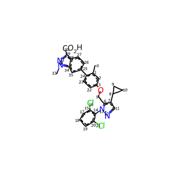 Cc1cc(OCc2c(C3CC3)cnn2-c2c(Cl)cccc2Cl)ccc1-c1ccc2c(C(=O)O)nn(C)c2c1